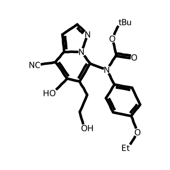 CCOc1ccc(N(C(=O)OC(C)(C)C)c2c(CCO)c(O)c(C#N)c3ccnn23)cc1